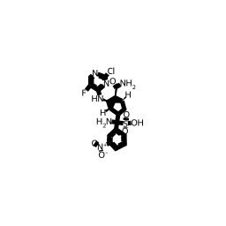 NC(=O)[C@H]1[C@H]2CC(C(N)(c3cccc([N+](=O)[O-])c3)S(=O)(=O)O)[C@@H](C2)[C@H]1Nc1nc(Cl)ncc1F